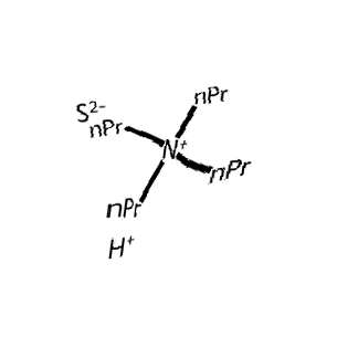 CCC[N+](CCC)(CCC)CCC.[H+].[S-2]